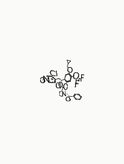 O=C(CN1CCC[C@H]1C(=O)O[C@@H](Cc1c(Cl)c[n+]([O-])cc1Cl)c1ccc(OC(F)F)c(OCC2CC2)c1)c1ccccc1